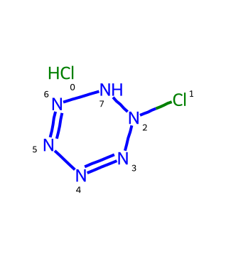 Cl.ClN1N=NN=NN1